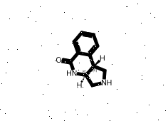 O=C1N[C@@H]2CNC[C@H]2c2ccccc21